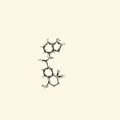 N[C@@H]1CCS(=O)(=O)c2cc(C(=O)Nc3ccnc4[nH]ncc34)ccc21